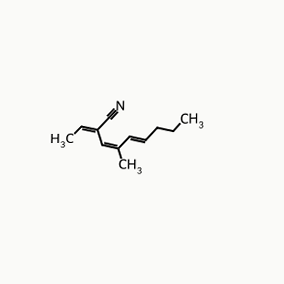 C/C=C(C#N)\C=C(\C)C=CCCC